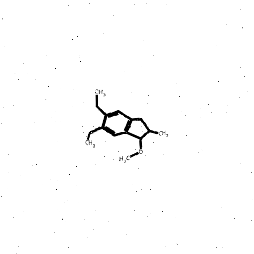 CCc1cc2c(cc1CC)C(OC)C(C)C2